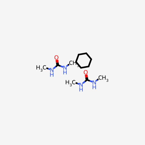 C1CCCCC1.CNC(=O)NC.CNC(=O)NC